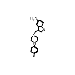 Nc1ccc2c(c1)C(CN1CCN(c3ccc(F)cc3)CC1)CS2